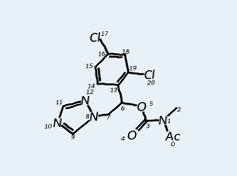 CC(=O)N(C)C(=O)OC(Cn1cncn1)c1ccc(Cl)cc1Cl